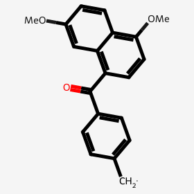 [CH2]c1ccc(C(=O)c2ccc(OC)c3ccc(OC)cc23)cc1